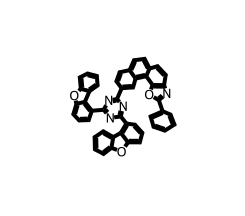 c1ccc(-c2nc3ccc4ccc5ccc(-c6nc(-c7cccc8oc9ccccc9c78)nc(-c7cccc8oc9ccccc9c78)n6)cc5c4c3o2)cc1